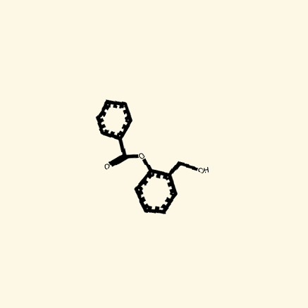 O=C(Oc1ccccc1CO)c1ccccc1